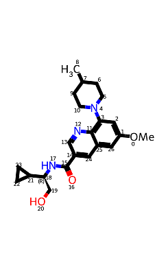 COc1cc(N2CCC(C)CC2)c2ncc(C(=O)N[C@@H](CO)C3CC3)cc2c1